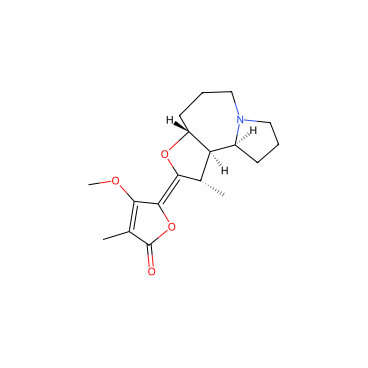 COC1=C(C)C(=O)O/C1=C1/O[C@@H]2CCCN3CCC[C@H]3[C@H]2[C@@H]1C